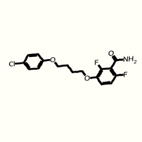 NC(=O)c1c(F)ccc(OCCCCOc2ccc(Cl)cc2)c1F